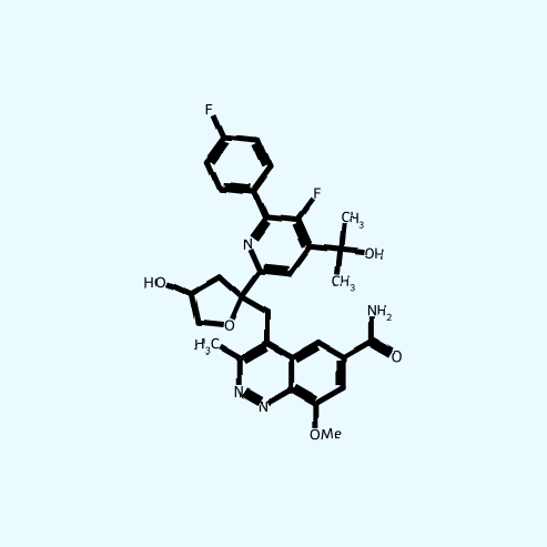 COc1cc(C(N)=O)cc2c(CC3(c4cc(C(C)(C)O)c(F)c(-c5ccc(F)cc5)n4)CC(O)CO3)c(C)nnc12